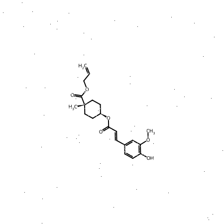 C=CCOC(=O)[C@]1(C)CC[C@@H](OC(=O)/C=C/c2ccc(O)c(OC)c2)CC1